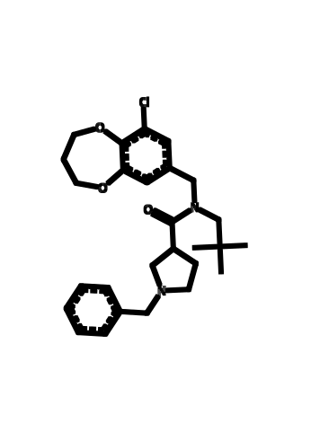 CC(C)(C)CN(Cc1cc(Cl)c2c(c1)OCCCO2)C(=O)C1CCN(Cc2ccccc2)C1